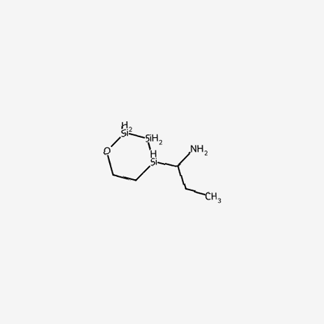 CCC(N)[SiH]1CCO[SiH2][SiH2]1